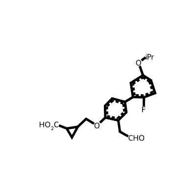 CC(C)Oc1ccc(F)c(-c2ccc(OCC3CC3C(=O)O)c(CC=O)c2)c1